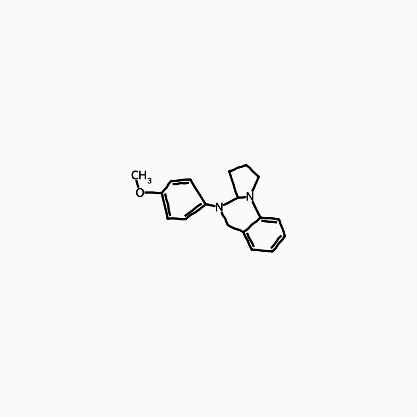 COc1ccc(N2Cc3ccccc3N3CCCC23)cc1